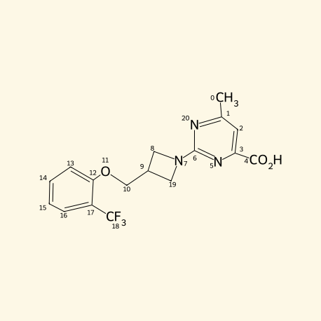 Cc1cc(C(=O)O)nc(N2CC(COc3ccccc3C(F)(F)F)C2)n1